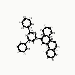 c1ccc(-c2cc(-c3cc4c5ccccc5ccc4c4ccccc34)nc(-c3ccccc3)n2)cc1